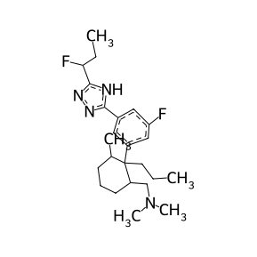 CCCC1(c2cc(F)cc(-c3nnc(C(F)CC)[nH]3)c2)C(C)CCCC1CN(C)C